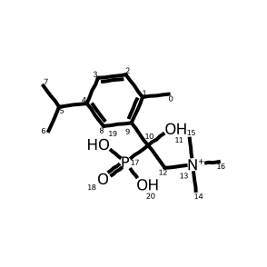 Cc1ccc(C(C)C)cc1C(O)(C[N+](C)(C)C)P(=O)(O)O